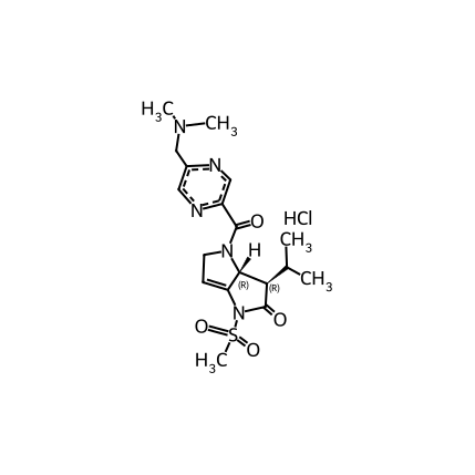 CC(C)[C@H]1C(=O)N(S(C)(=O)=O)C2=CCN(C(=O)c3cnc(CN(C)C)cn3)[C@@H]21.Cl